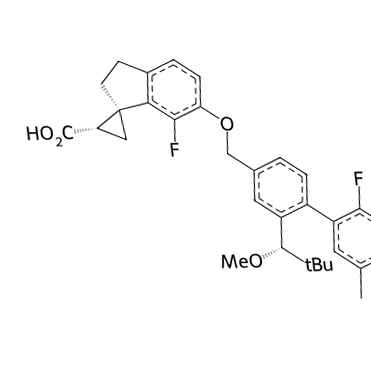 CO[C@H](c1cc(COc2ccc3c(c2F)[C@@]2(CC3)C[C@@H]2C(=O)O)ccc1-c1cc(C)ccc1F)C(C)(C)C